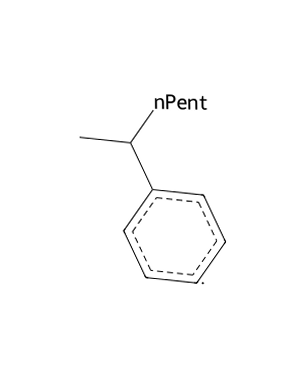 CCCCCC(C)c1cc[c]cc1